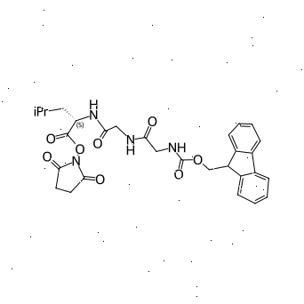 CC(C)C[C@H](NC(=O)CNC(=O)CNC(=O)OCC1c2ccccc2-c2ccccc21)C(=O)ON1C(=O)CCC1=O